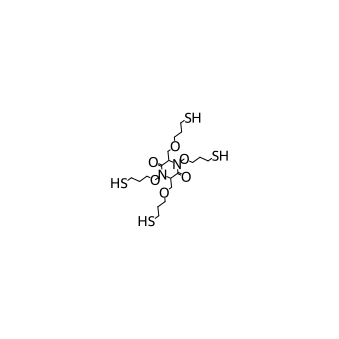 O=C1C(COCCCS)N(OCCCS)C(=O)C(COCCCS)N1OCCCS